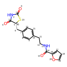 O=C1NC(=O)[C@@H](Cc2ccc(CCNC(=O)c3ccco3)cc2)S1